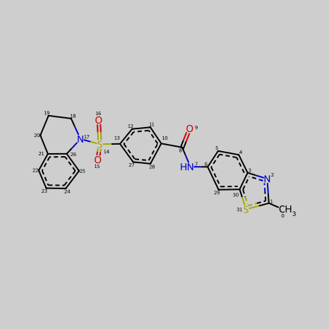 Cc1nc2ccc(NC(=O)c3ccc(S(=O)(=O)N4CCCc5ccccc54)cc3)cc2s1